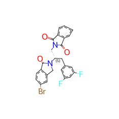 O=C1c2ccccc2C(=O)N1C[C@H](Cc1cc(F)cc(F)c1)N1Cc2cc(Br)ccc2C1=O